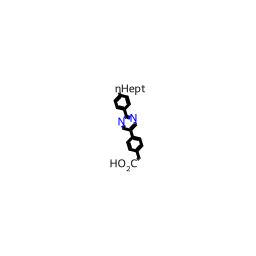 CCCCCCCc1ccc(-c2ncc(-c3ccc(CC(=O)O)cc3)cn2)cc1